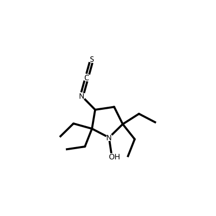 CCC1(CC)CC(N=C=S)C(CC)(CC)N1O